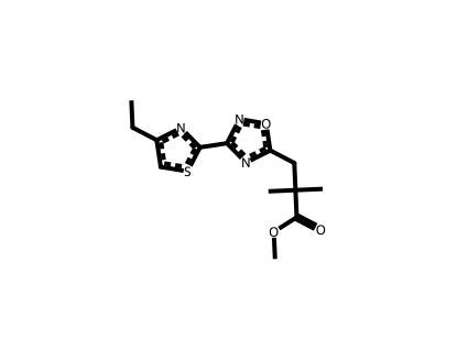 CCc1csc(-c2noc(CC(C)(C)C(=O)OC)n2)n1